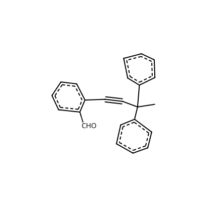 CC(C#Cc1ccccc1C=O)(c1ccccc1)c1ccccc1